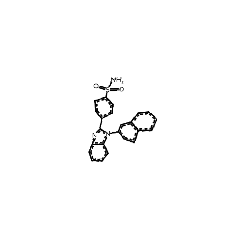 NS(=O)(=O)c1ccc(-c2nc3ccccc3n2-c2ccc3ccccc3c2)cc1